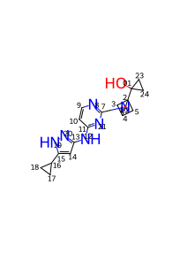 OC1(C23CC(C2)N(c2nccc(Nc4cc(C5CC5)[nH]n4)n2)C3)CC1